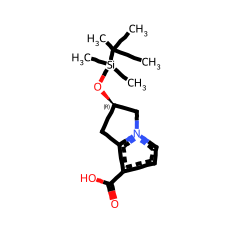 CC(C)(C)[Si](C)(C)O[C@@H]1Cc2c(C(=O)O)ccn2C1